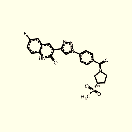 CS(=O)(=O)[C@@H]1CCN(C(=O)c2ccc(-n3cc(-c4cc5cc(F)ccc5[nH]c4=O)nn3)cc2)C1